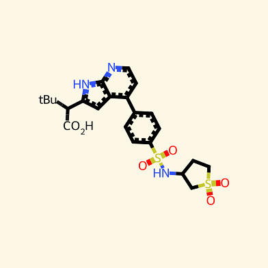 CC(C)(C)C(C(=O)O)c1cc2c(-c3ccc(S(=O)(=O)NC4CCS(=O)(=O)C4)cc3)ccnc2[nH]1